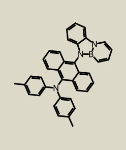 Cc1ccc(N(c2ccc(C)cc2)c2c3ccccc3c(N3B4C=CC=CN4c4ccccc43)c3ccccc23)cc1